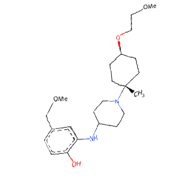 COCCO[C@H]1CC[C@](C)(N2CCC(Nc3cc(COC)ccc3O)CC2)CC1